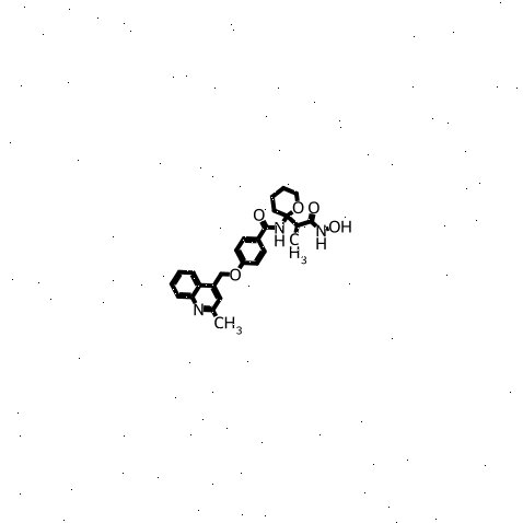 Cc1cc(COc2ccc(C(=O)NC3(C(C)C(=O)NO)CCCCO3)cc2)c2ccccc2n1